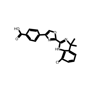 CC1(C)N=C(c2nc(-c3ccc(C(=O)O)cc3)co2)Nc2c(Cl)cccc21